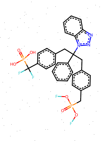 O=P(Cc1ccc(CC(Cc2ccc(C(F)(F)P(=O)(O)O)cc2)(c2ccccc2)n2nnc3ccccc32)cc1)(OF)OF